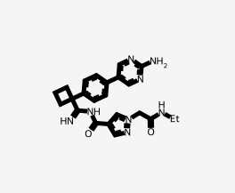 CCNC(=O)Cn1cc(C(=O)NC(=N)C2(c3ccc(-c4cnc(N)nc4)cc3)CCC2)cn1